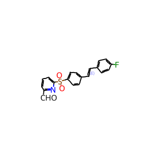 O=Cc1cccc(S(=O)(=O)c2ccc(/C=C/c3ccc(F)cc3)cc2)n1